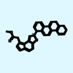 COC(=O)CC1=c2c(ccc3c2=C[C@@H](C2C=CC=c4c2ccc2c4=CCC4=C2C=CCC4)O3)C=C1